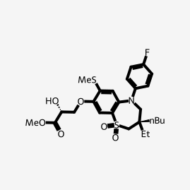 CCCC[C@]1(CC)CN(c2ccc(F)cc2)c2cc(SC)c(OC[C@@H](O)C(=O)OC)cc2S(=O)(=O)C1